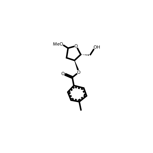 COC1C[C@H](OC(=O)c2ccc(C)cc2)[C@@H](CO)O1